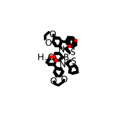 Cc1cc2c3c(c1)N(c1cc4c(cc1-c1ccccc1)OCCCO4)c1c(sc4ccccc14)B3c1sc3ccccc3c1N2c1cc2c(cc1-c1ccccc1)OCCCO2